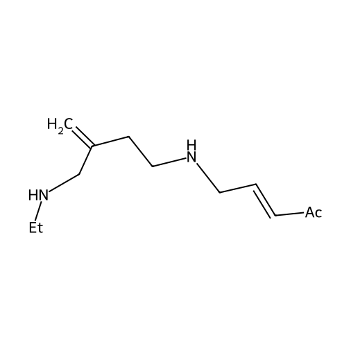 C=C(CCNC/C=C/C(C)=O)CNCC